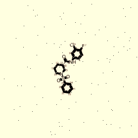 O=C(Nc1ccc(F)c(Cl)c1)[C@H]1CCCN(S(=O)(=O)c2ccccc2)C1